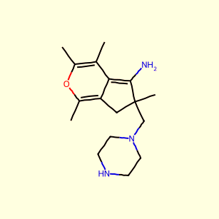 CC1=C(C)C2=C(N)C(C)(CN3CCNCC3)CC2=C(C)O1